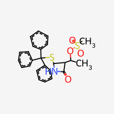 CC(OS(C)(=O)=O)C1C(=O)NC1SC(c1ccccc1)(c1ccccc1)c1ccccc1